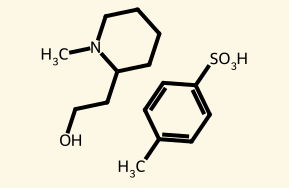 CN1CCCCC1CCO.Cc1ccc(S(=O)(=O)O)cc1